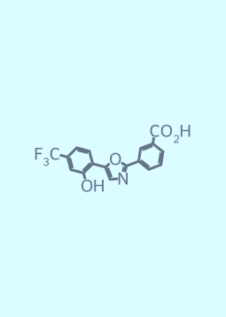 O=C(O)c1cccc(-c2ncc(-c3ccc(C(F)(F)F)cc3O)o2)c1